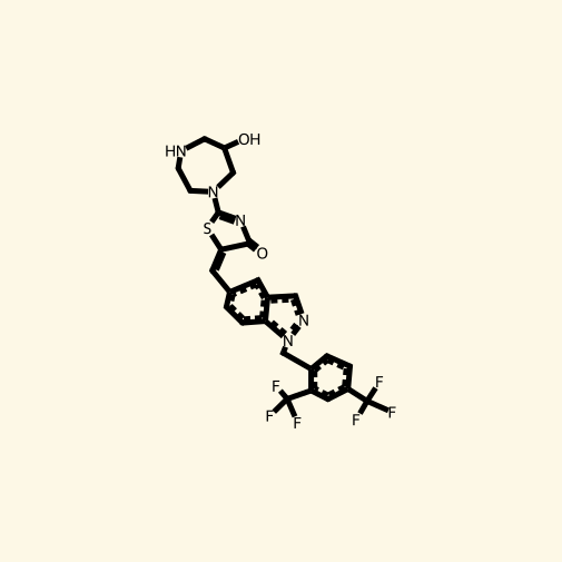 O=C1N=C(N2CCNCC(O)C2)SC1=Cc1ccc2c(cnn2Cc2ccc(C(F)(F)F)cc2C(F)(F)F)c1